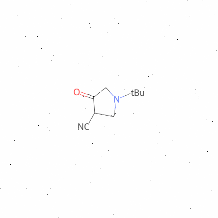 CC(C)(C)N1CC(=O)C(C#N)C1